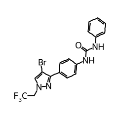 O=C(Nc1ccccc1)Nc1ccc(-c2nn(CC(F)(F)F)cc2Br)cc1